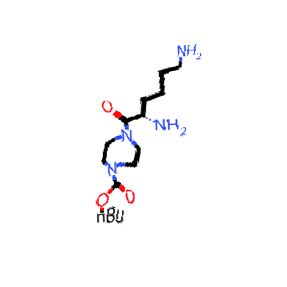 CCCCOC(=O)N1CCN(C(=O)[C@@H](N)CCCCN)CC1